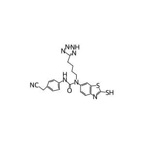 N#CCc1ccc(NC(=O)N(CCCCc2nn[nH]n2)c2ccc3nc(S)sc3c2)cc1